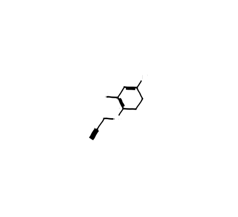 C#CCOC1=C(Cl)C=C(F)[CH]C1